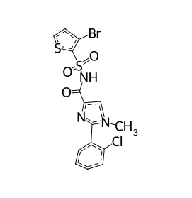 Cn1cc(C(=O)NS(=O)(=O)c2sccc2Br)nc1-c1ccccc1Cl